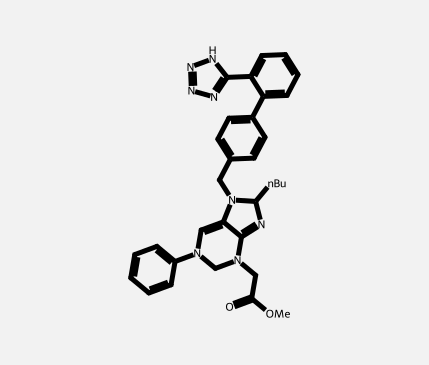 CCCCC1N=C2C(=CN(c3ccccc3)CN2CC(=O)OC)N1Cc1ccc(-c2ccccc2-c2nnn[nH]2)cc1